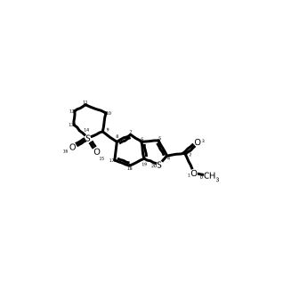 COC(=O)c1cc2cc(C3CCCCS3(=O)=O)ccc2s1